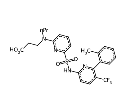 CCCN(CCC(=O)O)c1cccc(S(=O)(=O)Nc2ccc(C(F)(F)F)c(-c3ccccc3C)n2)n1